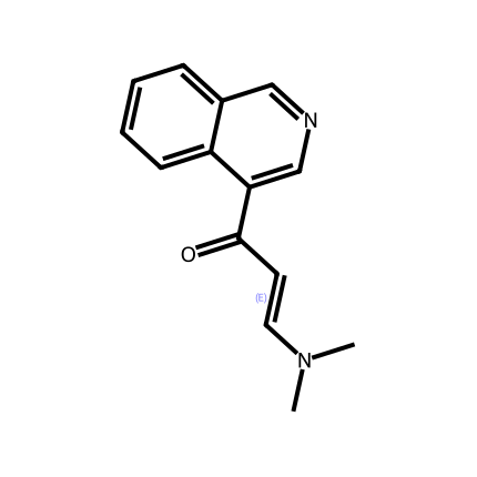 CN(C)/C=C/C(=O)c1cncc2ccccc12